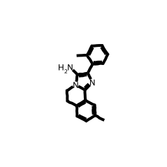 Cc1ccc2c(c1)-c1nc(-c3ccccc3C)c(N)n1CC2